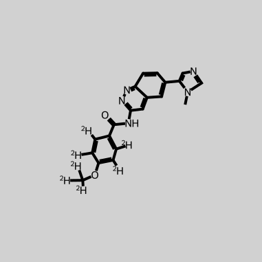 [2H]c1c([2H])c(C(=O)Nc2cc3cc(-c4cncn4C)ccc3nn2)c([2H])c([2H])c1OC([2H])([2H])[2H]